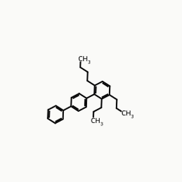 CCCCc1ccc(CCC)c(CCC)c1-c1ccc(-c2ccccc2)cc1